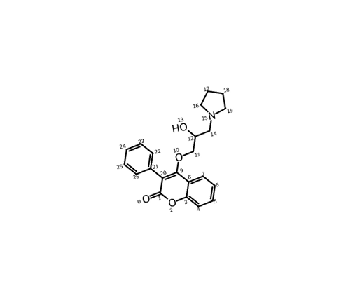 O=c1oc2ccccc2c(OCC(O)CN2CCCC2)c1-c1ccccc1